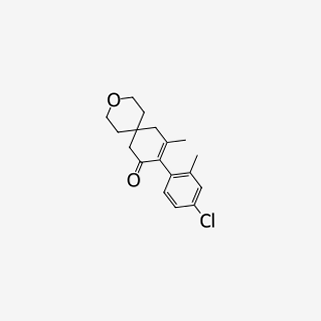 CC1=C(c2ccc(Cl)cc2C)C(=O)CC2(CCOCC2)C1